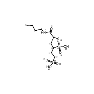 CCCCNC(=O)C(C)CC(CCS(=O)(=O)O)S(=O)(=O)O